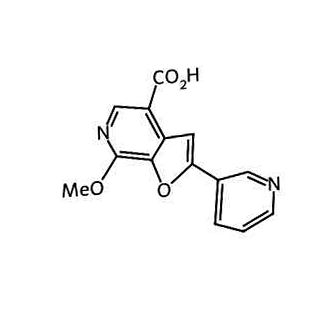 COc1ncc(C(=O)O)c2cc(-c3cccnc3)oc12